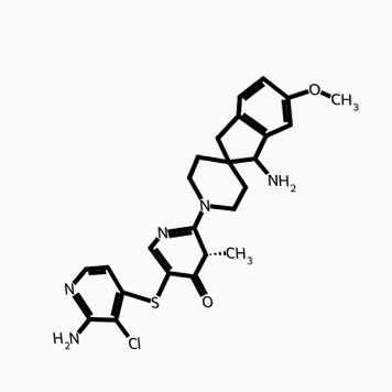 COc1ccc2c(c1)C(N)C1(CCN(C3=NC=C(Sc4ccnc(N)c4Cl)C(=O)[C@H]3C)CC1)C2